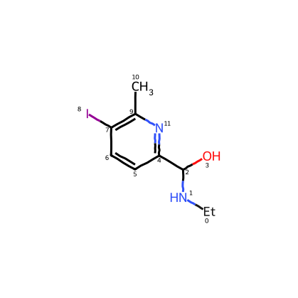 CCNC(O)c1ccc(I)c(C)n1